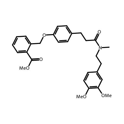 COC(=O)c1ccccc1COc1ccc(CCC(=O)N(C)CCc2ccc(OC)c(OC)c2)cc1